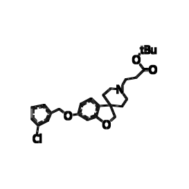 CC(C)(C)OC(=O)CCN1CCC2(CC1)COc1cc(OCc3cccc(Cl)c3)ccc12